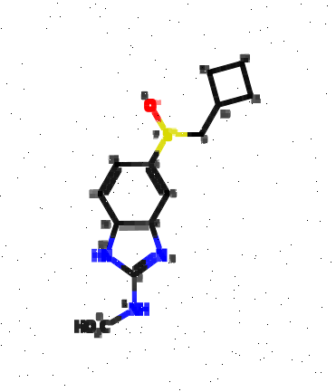 O=C(O)Nc1nc2cc([S+]([O-])CC3CCC3)ccc2[nH]1